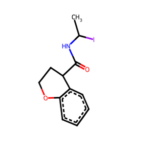 CC(I)NC(=O)C1CCOc2ccccc21